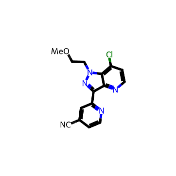 COCCn1nc(-c2cc(C#N)ccn2)c2nccc(Cl)c21